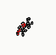 c1ccc(-c2cccc(-c3ccccc3)c2N2c3cc4c(cc3B3c5ccccc5N(c5ccccc5)c5cc(N6C7CC8CC(C7)CC6C8)cc2c53)B2c3ccccc3N(c3ccccc3)c3cc(N5C6CC7CC(C6)CC5C7)cc(c32)N4c2ccccc2)cc1